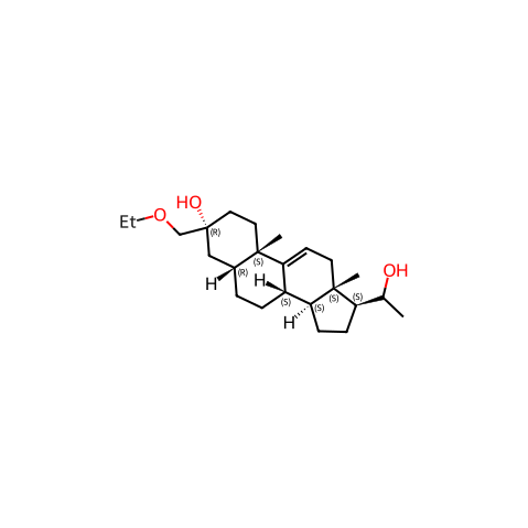 CCOC[C@@]1(O)CC[C@]2(C)C3=CC[C@]4(C)[C@@H](C(C)O)CC[C@H]4[C@@H]3CC[C@@H]2C1